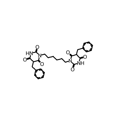 O=C1NC(=O)N(CCCCCCN2C(=O)NC(=O)C(Cc3ccccc3)C2=O)C(=O)C1Cc1ccccc1